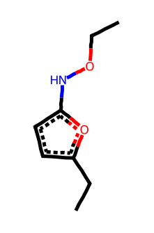 CCONc1ccc(CC)o1